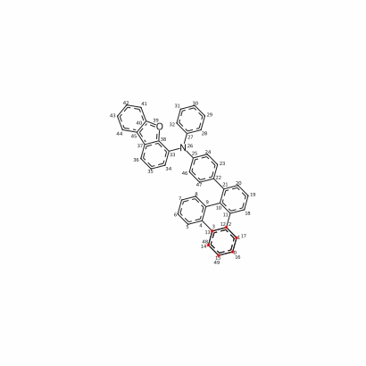 c1ccc(-c2ccccc2-c2c(-c3ccccc3)cccc2-c2ccc(N(c3ccccc3)c3cccc4c3oc3ccccc34)cc2)cc1